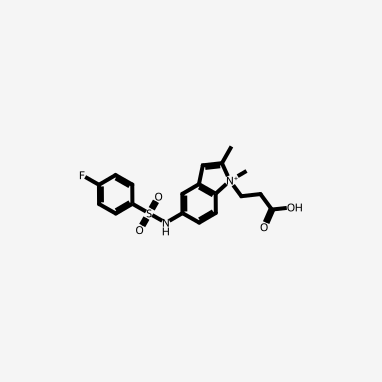 CC1=Cc2cc(NS(=O)(=O)c3ccc(F)cc3)ccc2[N+]1(C)CCC(=O)O